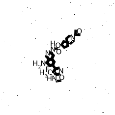 Cc1c(-c2cc3cc(NC(=O)O[C@H]4CCC5(CCN(C6COC6)CC5)C4)ncc3c(N)c2F)cnc2c1NCCO2